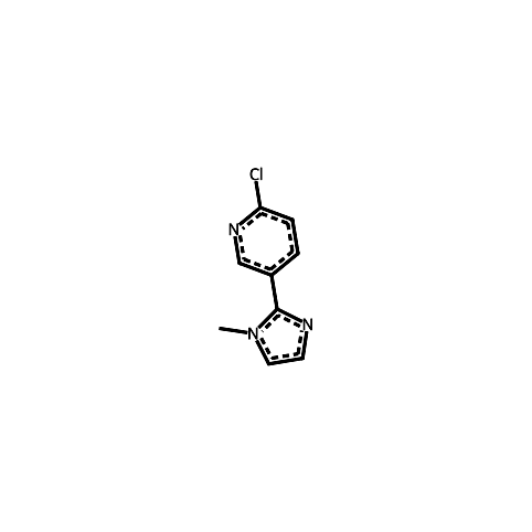 Cn1ccnc1-c1ccc(Cl)nc1